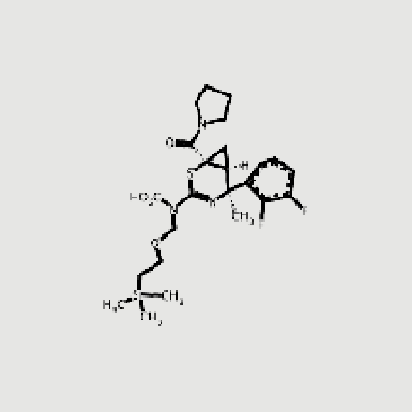 C[C@]1(c2cccc(F)c2F)N=C(N(COCC[Si](C)(C)C)C(=O)O)S[C@@]2(C(=O)N3CCCC3)C[C@H]21